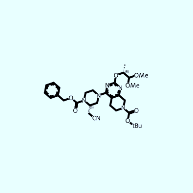 COC(OC)[C@@H](C)Oc1nc2c(c(N3CCN(C(=O)OCc4ccccc4)[C@@H](CC#N)C3)n1)CCN(C(=O)OC(C)(C)C)C2